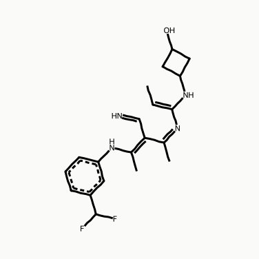 C/C=C(/N=C(C)\C(C=N)=C(/C)Nc1cccc(C(F)F)c1)NC1CC(O)C1